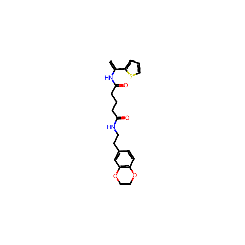 C=C(NC(=O)CCCC(=O)NCCc1ccc2c(c1)OCCO2)c1cccs1